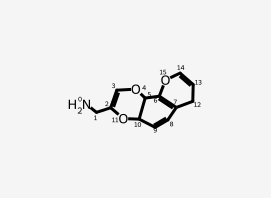 NCC1=COC2C3=C(C=CC2O1)CC=CO3